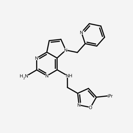 CC(C)c1cc(CNc2nc(N)nc3ccn(Cc4ccccn4)c23)no1